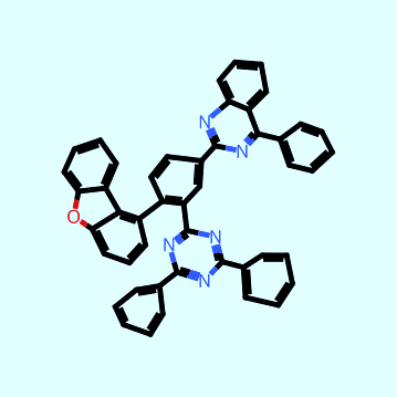 c1ccc(-c2nc(-c3ccccc3)nc(-c3cc(-c4nc(-c5ccccc5)c5ccccc5n4)ccc3-c3cccc4oc5ccccc5c34)n2)cc1